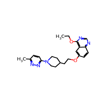 CCOc1ncnc2ccc(OCCC3CCN(c4ccc(C)nn4)CC3)cc12